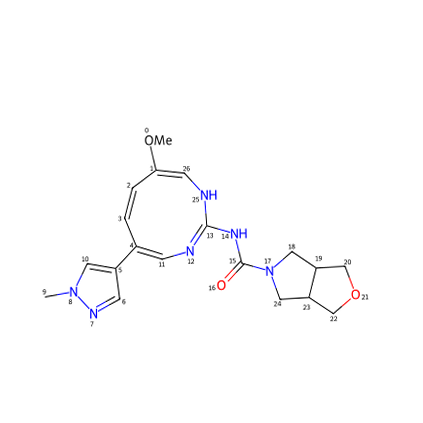 COc1ccc(-c2cnn(C)c2)cnc(NC(=O)N2CC3COCC3C2)[nH]c1